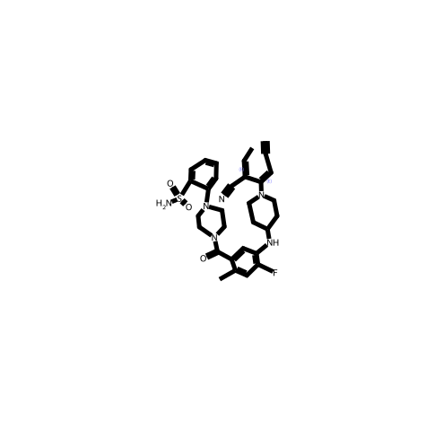 C#C/C=C(\C(C#N)=C/C)N1CCC(Nc2cc(C(=O)N3CCN(c4ccccc4S(N)(=O)=O)CC3)c(C)cc2F)CC1